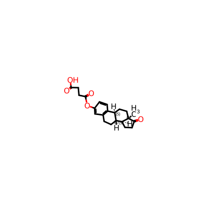 C[C@]12CC[C@@H]3c4ccc(OC(=O)CCC(=O)O)cc4CC[C@H]3[C@@H]1CCC2=O